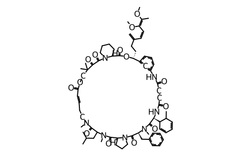 C=C(/C=C\C(OC)=C(/C)OC)CC[C@H]1OC(=O)[C@@H]2CCCCN2C(=O)C(=O)C(C)(C)COC(=O)/C=C/CCN(C)C(=O)C(CC(C)C)N(C)C(=O)[C@H]2CCCN2C(=O)[C@H](Cc2ccccc2)N(C)C(=O)[C@H](C2C=CC=CC2C)NC(=O)CCC(=O)Nc2cccc1c2